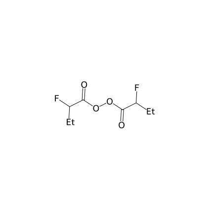 CCC(F)C(=O)OOC(=O)C(F)CC